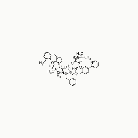 Cc1cccc(CN2CCN([C@H](C(=O)N[C@@H](Cc3ccccc3)[C@@H](O)C[C@H](Cc3ccc(-c4ccccn4)cc3)NC(=O)N(CC(C)(C)C)C(=O)O)C(C)(C)C)C2=O)n1